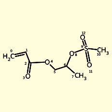 C=CC(=O)OCC(C)OS(C)(=O)=O